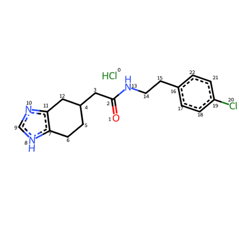 Cl.O=C(CC1CCc2[nH]cnc2C1)NCCc1ccc(Cl)cc1